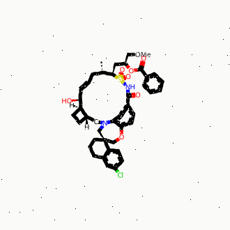 COC[C@H](C[C@@H]1[C@@H](C)C/C=C/[C@H](O)[C@@H]2CC[C@H]2CN2C[C@@]3(CCCc4cc(Cl)ccc43)COc3ccc(cc32)C(=O)NS1(=O)=O)OC(=O)c1ccccc1